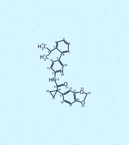 CC(C)c1ccccc1-c1ccc(NC(=O)C2(c3ccc4c(c3)OCO4)CC2)nc1